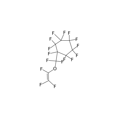 FC(F)=C(F)OC(F)(F)C1(F)C(F)(F)C(F)(F)C(F)(F)C(F)(F)C1(F)F